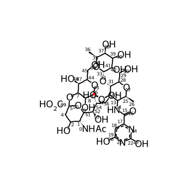 CC(=O)N[C@@H]1C(O)C[C@](OC2C(O)[C@H](O[C@@H]3C(NC(=O)c4cc(O)nc(O)n4)[C@H](C)OC(CO)[C@H]3O[C@@H]3O[C@@H](C)[C@@H](O)C(O)C3O)OC(CO)[C@@H]2O)(C(=O)O)OC1[C@H](O)[C@H](O)CO